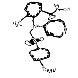 COc1ccc(S(=O)(=O)CN(c2ccncc2)c2c(C)cccc2C(=O)NO)cc1